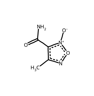 Cc1no[n+]([O-])c1C(N)=O